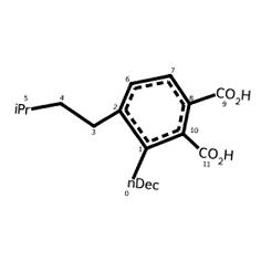 CCCCCCCCCCc1c(CCC(C)C)ccc(C(=O)O)c1C(=O)O